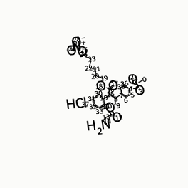 CS(=O)(=O)c1ccc(C(COC(=O)CN)=C(C(=O)OCCCCCCO[N+](=O)[O-])c2ccccc2)cc1.Cl